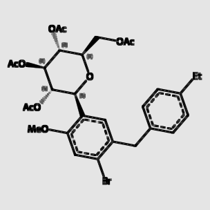 CCc1ccc(Cc2cc([C@@H]3O[C@H](COC(C)=O)[C@@H](OC(C)=O)[C@H](OC(C)=O)[C@H]3OC(C)=O)c(OC)cc2Br)cc1